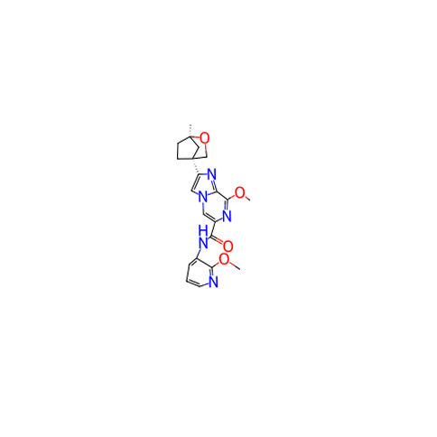 COc1ncccc1NC(=O)c1cn2cc([C@]34CC[C@](C)(C3)OC4)nc2c(OC)n1